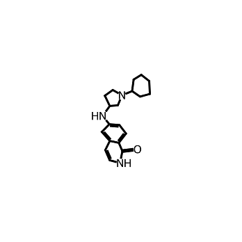 O=c1[nH]ccc2cc(NC3CCN(C4CCCCC4)C3)ccc12